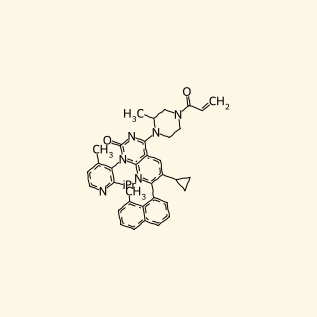 C=CC(=O)N1CCN(c2nc(=O)n(-c3c(C)ccnc3C(C)C)c3nc(-c4cccc5cccc(C)c45)c(C4CC4)cc23)C(C)C1